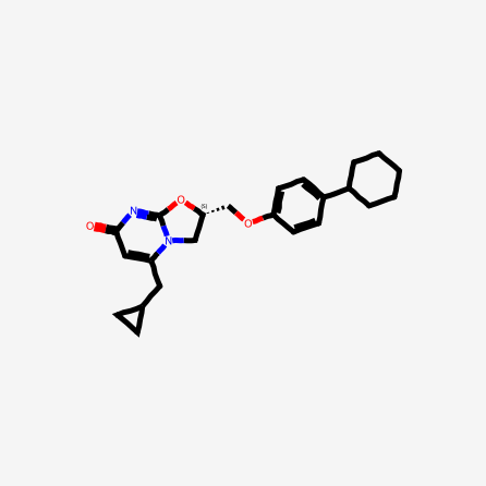 O=c1cc(CC2CC2)n2c(n1)O[C@H](COc1ccc(C3CCCCC3)cc1)C2